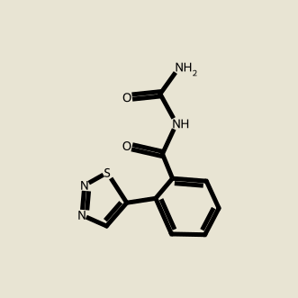 NC(=O)NC(=O)c1ccccc1-c1cnns1